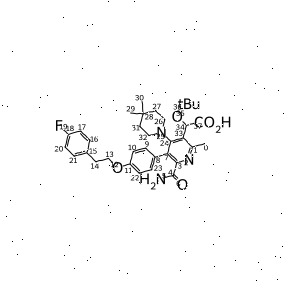 Cc1nc(C(N)=O)c(-c2ccc(OCCc3ccc(F)cc3)cc2)c(N2CCC(C)(C)CC2)c1C(OC(C)(C)C)C(=O)O